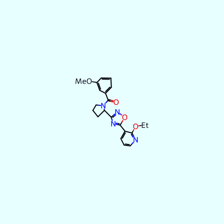 CCOc1ncccc1-c1nc(C2CCCN2C(=O)c2cccc(OC)c2)no1